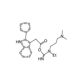 CCN(CCCN(C)C)C(=N)OC(=O)Cc1c(-c2ccccc2)[nH]c2ccccc12